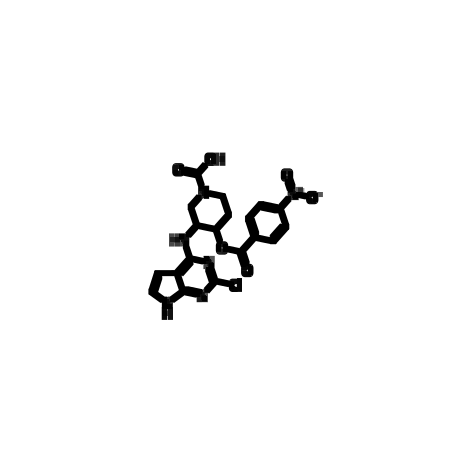 O=C(OC1CCN(C(=O)O)CC1Nc1nc(Cl)nc2[nH]ccc12)c1ccc([N+](=O)[O-])cc1